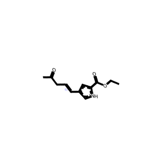 CCOC(=O)c1cc(/C=C/CC(C)=O)c[nH]1